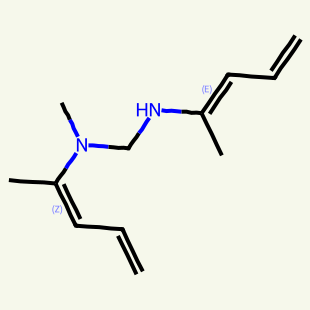 C=C/C=C(/C)N(C)CN/C(C)=C/C=C